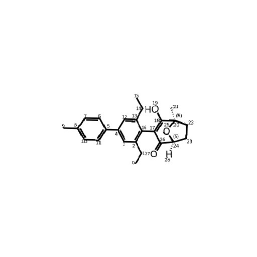 CCc1cc(-c2ccc(C)cc2)cc(CC)c1C1=C(O)[C@@]2(C)CC[C@H](O2)C1=O